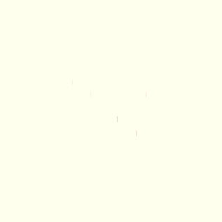 C[CH2][Ti]([CH3])[C]1=CC=CC1.Cl.Cl